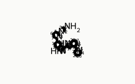 NC1CN(c2cccc(-c3ccc4[nH]nc(-c5cc6c(-c7ccccn7)nccc6[nH]5)c4c3)n2)C1